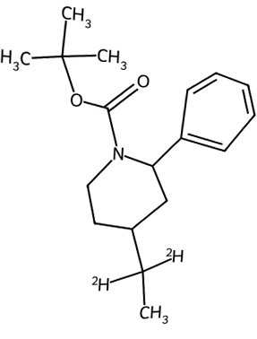 [2H]C([2H])(C)C1CCN(C(=O)OC(C)(C)C)C(c2ccccc2)C1